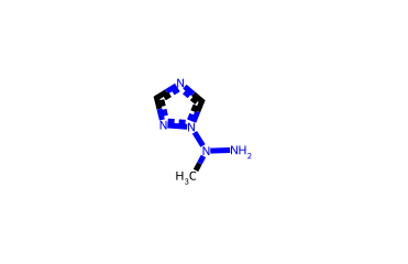 CN(N)n1cncn1